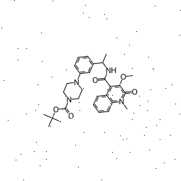 COc1c(C(=O)NC(C)c2cccc(N3CCN(C(=O)OC(C)(C)C)CC3)c2)c2ccccc2n(C)c1=O